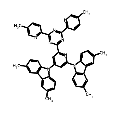 Cc1ccc(-c2nc(-c3ccc(C)cn3)nc(-c3cc(-n4c5ccc(C)cc5c5cc(C)ccc54)cc(-n4c5ccc(C)cc5c5cc(C)ccc54)n3)n2)nc1